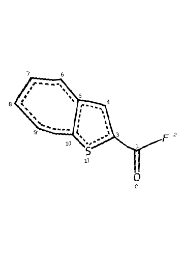 O=C(F)c1cc2ccccc2s1